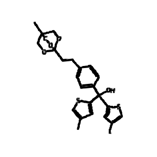 Cc1csc(C(O)(c2ccc(CCC34OCC(C)(CO3)CO4)cc2)c2cc(C)cs2)c1